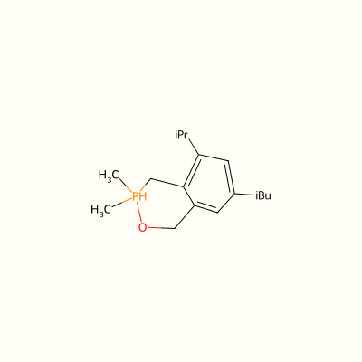 CCC(C)c1cc2c(c(C(C)C)c1)C[PH](C)(C)OC2